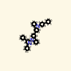 c1ccc(-c2ccc(-n3c4ccccc4c4cc(-c5ccc6c(c5)c5ccccc5n6-c5cc(-c6ccccc6)cc(-c6ccccc6)n5)ccc43)cc2)cc1